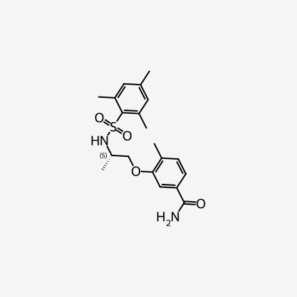 Cc1cc(C)c(S(=O)(=O)N[C@@H](C)COc2cc(C(N)=O)ccc2C)c(C)c1